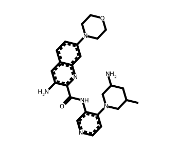 CC1CC(N)CN(c2ccncc2NC(=O)c2nc3cc(N4CCOCC4)ccc3cc2N)C1